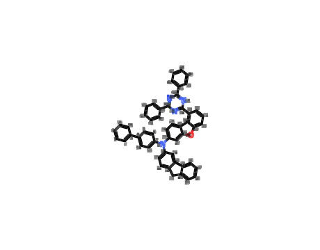 c1ccc(-c2ccc(N(c3ccc4c(c3)-c3ccccc3C4)c3ccc4c(c3)oc3cccc(-c5nc(-c6ccccc6)nc(-c6ccccc6)n5)c34)cc2)cc1